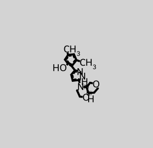 Cc1cc(C)c(-c2ccc(N3CCO[C@@H]4CCOC[C@@H]43)nn2)c(O)c1